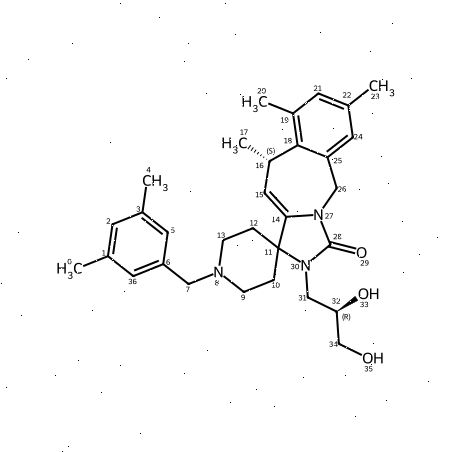 Cc1cc(C)cc(CN2CCC3(CC2)C2=C[C@H](C)c4c(C)cc(C)cc4CN2C(=O)N3C[C@@H](O)CO)c1